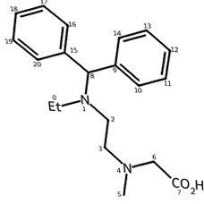 CCN(CCN(C)CC(=O)O)C(c1ccccc1)c1ccccc1